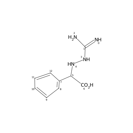 N=C(N)NNC(C(=O)O)c1ccccc1